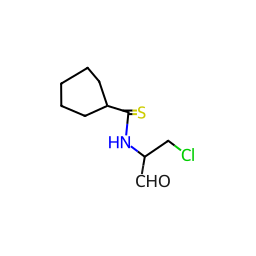 O=CC(CCl)NC(=S)C1CCCCC1